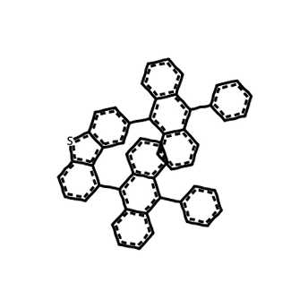 c1ccc(-c2c3ccccc3c(-c3ccc4sc5cccc(-c6c7ccccc7c(-c7ccccc7)c7ccccc67)c5c4c3)c3ccccc23)cc1